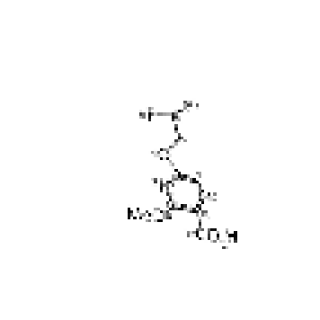 COc1nc(OCC(F)F)ccc1C(=O)O